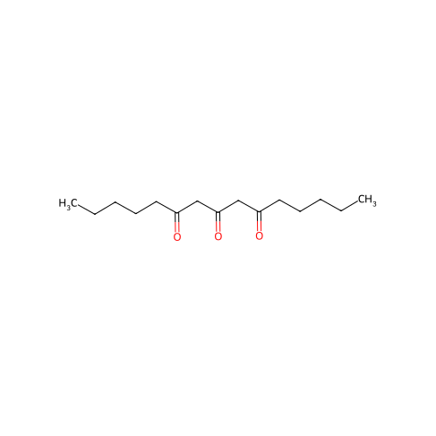 CCCCCC(=O)CC(=O)CC(=O)CCCCC